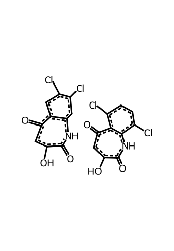 O=c1[nH]c2c(Cl)ccc(Cl)c2c(=O)cc1O.O=c1[nH]c2cc(Cl)c(Cl)cc2c(=O)cc1O